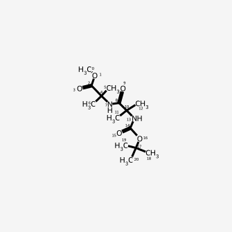 COC(=O)C(C)(C)NC(=O)C(C)(C)NC(=O)OC(C)(C)C